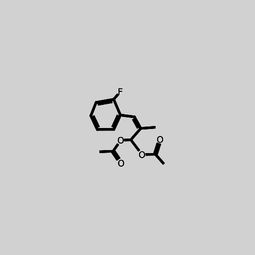 CC(=O)OC(OC(C)=O)C(C)=Cc1ccccc1F